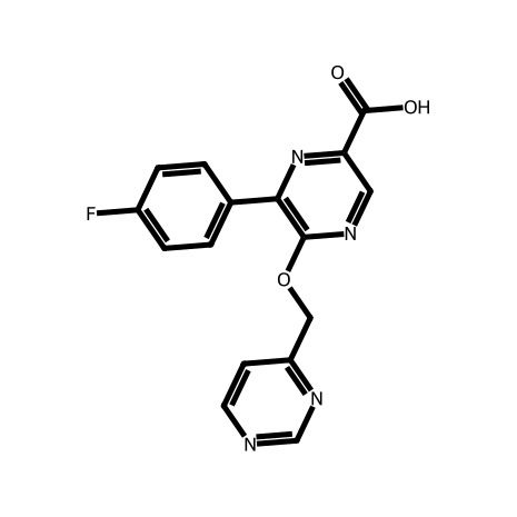 O=C(O)c1cnc(OCc2ccncn2)c(-c2ccc(F)cc2)n1